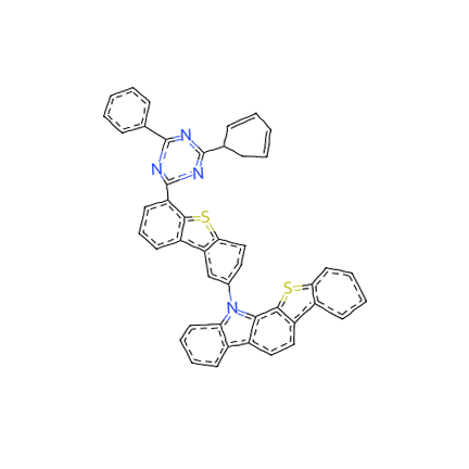 C1=CCC(c2nc(-c3ccccc3)nc(-c3cccc4c3sc3ccc(-n5c6ccccc6c6ccc7c8ccccc8sc7c65)cc34)n2)C=C1